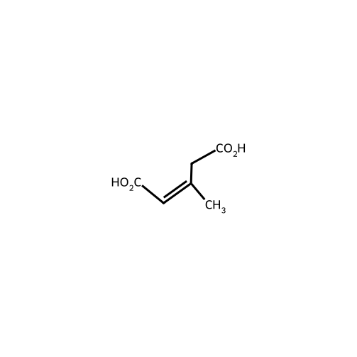 C/C(=C/C(=O)O)CC(=O)O